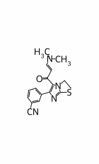 CN(C)C=CC(=O)c1c(-c2cccc(C#N)c2)nc2n1CCS2